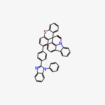 c1ccc(-n2c(-c3ccc(-c4ccc5c(c4)C4(c6ccccc6S5)c5ccccc5-n5c6ccccc6c6cccc4c65)cc3)nc3ccccc32)cc1